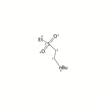 CCCCCCS(=O)(=O)CC